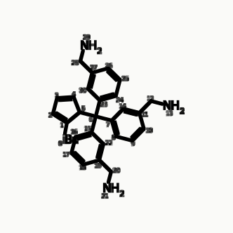 CCC(C)C1=CC=C[C]1C(c1cccc(CN)c1)(c1cccc(CN)c1)c1cccc(CN)c1